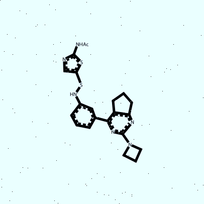 CC(=O)Nc1ncc(SNc2cccc(-c3nc(N4CCC4)nc4c3CCC4)c2)s1